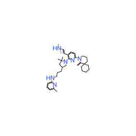 C=C1N(c2ccc(/C=C/NC)c(N3CC(CCCNc4cccc(C)n4)CC3(C)C)n2)CCCC12CCCCC2